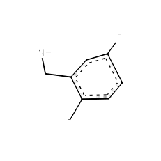 NCc1cc(F)c[c]c1Cl